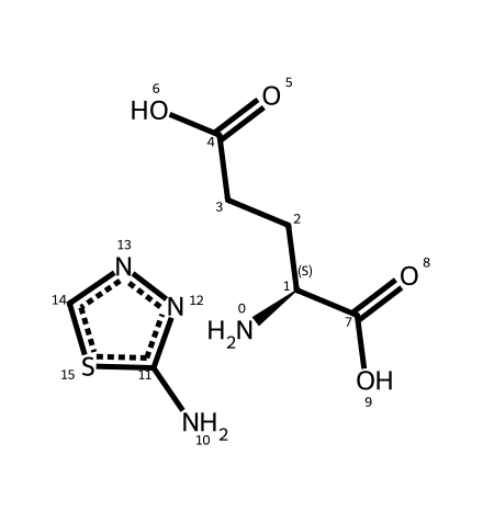 N[C@@H](CCC(=O)O)C(=O)O.Nc1nncs1